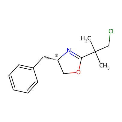 CC(C)(CCl)C1=N[C@@H](Cc2ccccc2)CO1